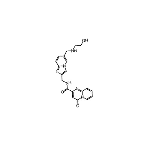 O=C(NCc1cn2cc(CNCCO)ccc2n1)c1cc(=O)n2ccccc2n1